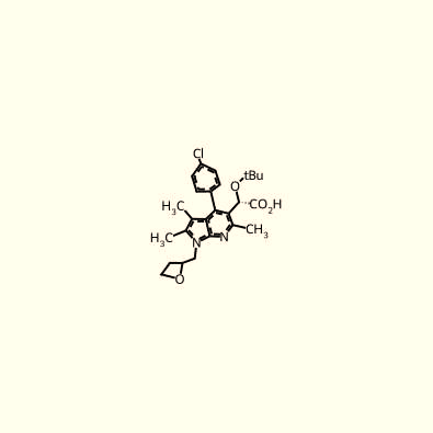 Cc1nc2c(c(C)c(C)n2CC2CCO2)c(-c2ccc(Cl)cc2)c1[C@H](OC(C)(C)C)C(=O)O